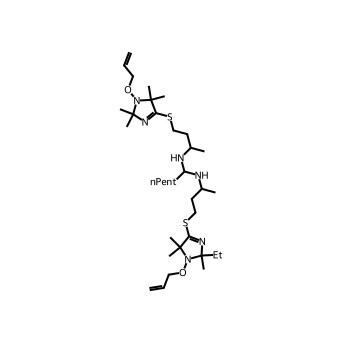 C=CCON1C(C)(C)N=C(SCCC(C)NC(CCCCC)NC(C)CCSC2=NC(C)(CC)N(OCC=C)C2(C)C)C1(C)C